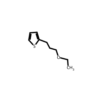 CCOCCCc1cccs1